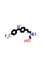 CCN(CCO)CCCc1ccc2c(-c3ccc(C(F)(F)F)cc3)nsc2c1